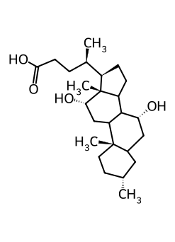 C[C@@H]1CC[C@@]2(C)C(C1)C[C@@H](O)C1C2C[C@H](O)[C@@]2(C)C1CC[C@@H]2[C@H](C)CCC(=O)O